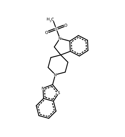 CS(=O)(=O)N1CC2(CCN(c3nc4ccccc4s3)CC2)c2ccccc21